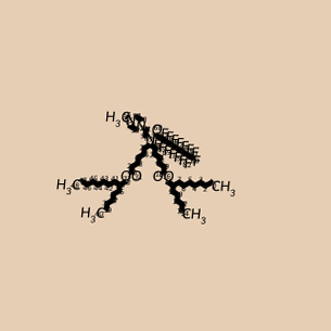 CCCCCCCCC(CCCCCC)COC(=O)CCCCCC(CCCCCC(=O)OCC(CCCCCC)CCCCCCCC)N(CCN1CCN(C)CC1)C(=O)C(F)(F)C(F)(F)C(F)(F)C(F)(F)C(F)(F)C(F)(F)C(F)(F)F